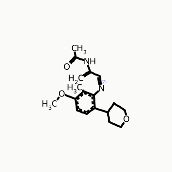 C=C(/C=N\c1c(C2CCOCC2)ccc(OC)c1C)NC(C)=O